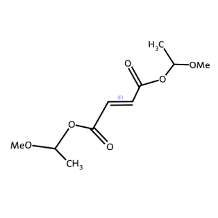 COC(C)OC(=O)/C=C/C(=O)OC(C)OC